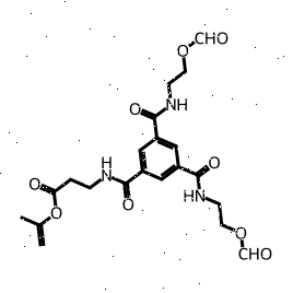 C=C(C)OC(=O)CCNC(=O)c1cc(C(=O)NCCOC=O)cc(C(=O)NCCOC=O)c1